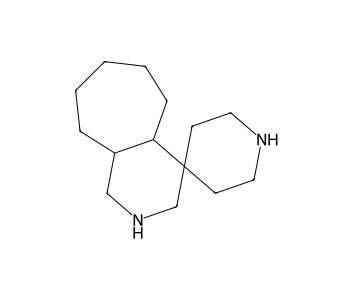 C1CCC2CNCC3(CCNCC3)C2CC1